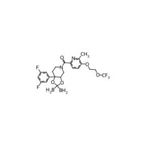 BC1(B)OC2CN(C(=O)c3ccc(OCCOC(F)(F)F)c(C)n3)CCC2(c2cc(F)cc(F)c2)O1